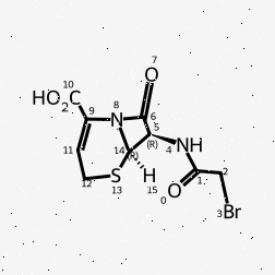 O=C(CBr)N[C@@H]1C(=O)N2C(C(=O)O)=CCS[C@H]12